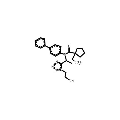 CC(c1nnnn1CCC#N)N(C(=O)C1(CC(=O)O)CCCC1)c1ccc(-c2ccccc2)cc1